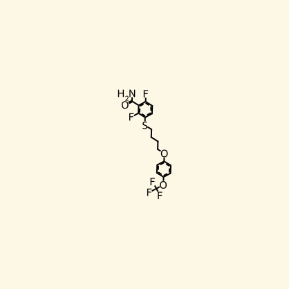 NC(=O)c1c(F)ccc(SCCCCOc2ccc(OC(F)(F)F)cc2)c1F